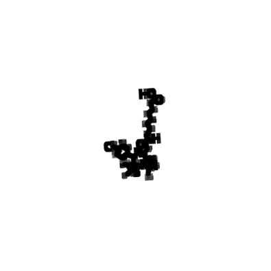 Cc1sc2c(c1C)C(c1ccc(Cl)cc1)=N[C@@H](CC(=O)NCCCCCCCC(=O)O)c1nnc(C)n1-2